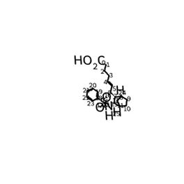 O=C(O)CCCC=CC[C@H]1[C@@H]2CC[C@@H](C2)[C@@H]1NS(=O)(=O)c1ccccc1